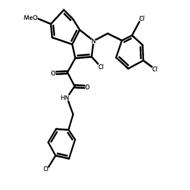 COc1ccc2c(c1)c(C(=O)C(=O)NCc1ccc(Cl)cc1)c(Cl)n2Cc1ccc(Cl)cc1Cl